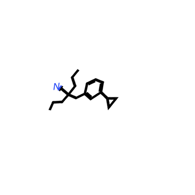 CCCC(C#N)(CCC)Cc1cccc(C2CC2)c1